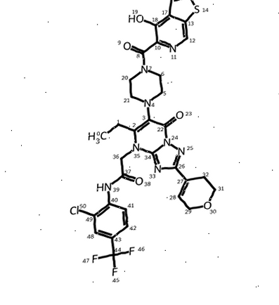 CCc1c(N2CCN(C(=O)c3ncc4sccc4c3O)CC2)c(=O)n2nc(C3=CCOCC3)nc2n1CC(=O)Nc1ccc(C(F)(F)F)cc1Cl